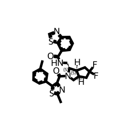 Cc1cccc(-c2sc(C)nc2C(=O)N2C[C@@H]3CC(F)(F)C[C@@H]3[C@H]2CNC(=O)c2cccc3ncsc23)c1